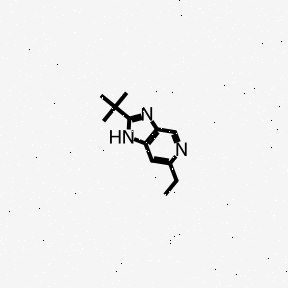 CCc1cc2[nH]c(C(C)(C)C)nc2cn1